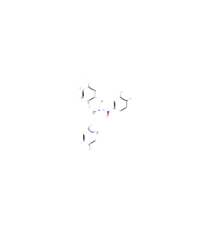 O=C(c1ccc(Cl)c(Cl)c1)N1Cc2cc(F)c(F)cc2C[C@H]1COc1ccc(C(F)(F)F)cn1